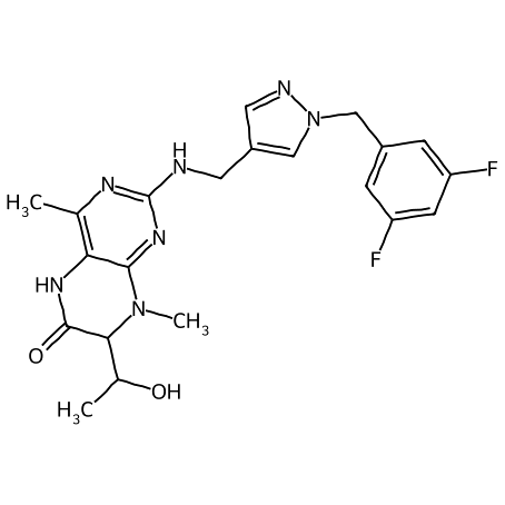 Cc1nc(NCc2cnn(Cc3cc(F)cc(F)c3)c2)nc2c1NC(=O)C(C(C)O)N2C